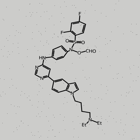 CCN(CC)CCCCn1ccc2cc(-c3cc(Nc4ccc(N(OC=O)S(=O)(=O)c5ccc(F)cc5F)cc4)ncn3)ccc21